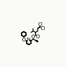 C#CC(OC(=O)C(CC=C(Cl)Cl)C(C)C)c1cccc(Oc2ccccc2)n1